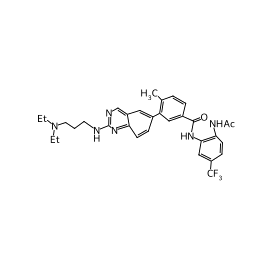 CCN(CC)CCCNc1ncc2cc(-c3cc(C(=O)Nc4cc(C(F)(F)F)ccc4NC(C)=O)ccc3C)ccc2n1